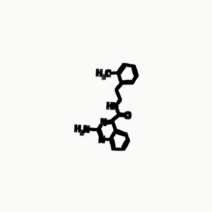 Cc1ccccc1CCNC(=O)c1nc(N)nc2ccccc12